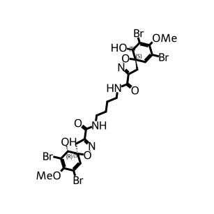 COC1=C(Br)[C@H](O)[C@@]2(C=C1Br)CC(C(=O)NCCCCNC(=O)C1=NO[C@]3(C=C(Br)C(OC)=C(Br)[C@@H]3O)C1)=NO2